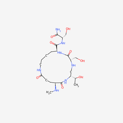 CN[C@H]1CCC(=O)NCCCC[C@@H](C(=O)N[C@@H](CO)C(N)=O)NC(=O)[C@H](CO)NC[C@H](C(C)O)NC1=O